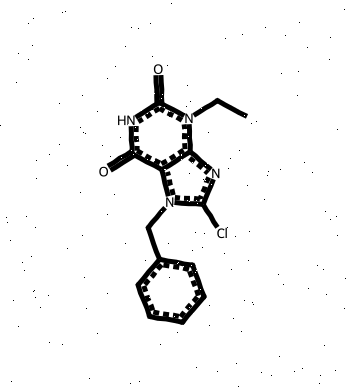 CCn1c(=O)[nH]c(=O)c2c1nc(Cl)n2Cc1ccccc1